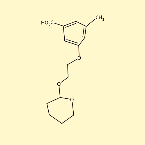 Cc1cc(OCCOC2CCCCO2)cc(C(=O)O)c1